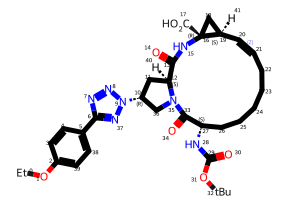 CCOc1ccc(-c2nnn([C@@H]3C[C@H]4C(=O)N[C@]5(C(=O)O)C[C@H]5/C=C\CCCCC[C@H](NC(=O)OC(C)(C)C)C(=O)N4C3)n2)cc1